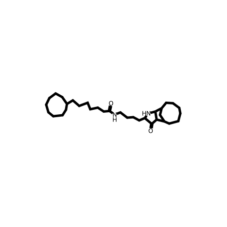 O=C(CCCCCCC1CCCCCCCC1)NCCCCC1NC2C3CCCCCCC(C3)C2C1=O